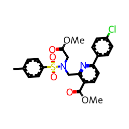 COC(=O)CN(Cc1nc(-c2ccc(Cl)cc2)ccc1C(=O)OC)S(=O)(=O)c1ccc(C)cc1